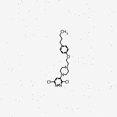 CCCCc1ccc(OCCN2CCN(c3cc(Cl)nnc3Cl)CC2)cc1